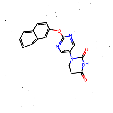 O=C1CCN(c2cnc(Oc3ccc4ccccc4c3)nc2)C(=O)N1